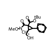 CON(C)C(=O)C1(C(=O)OC(C)(C)C)C(CO)C1c1ccccc1